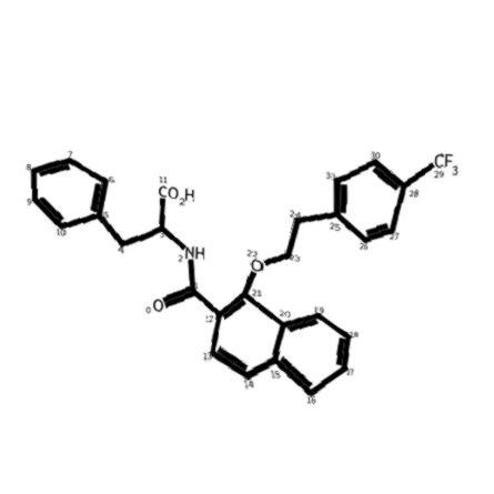 O=C(NC(Cc1ccccc1)C(=O)O)c1ccc2ccccc2c1OCCc1ccc(C(F)(F)F)cc1